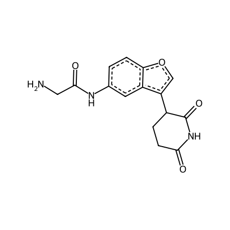 NCC(=O)Nc1ccc2occ(C3CCC(=O)NC3=O)c2c1